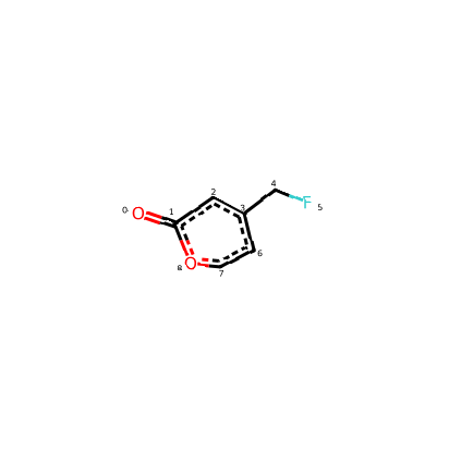 O=c1cc(CF)cco1